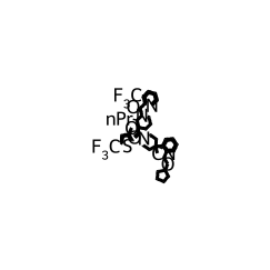 CCC[C@H]1N(C(=O)c2ncccc2C(F)(F)F)CCC[C@@]1(Oc1csc(C(F)(F)F)c1)C(=O)N1CCC(C#N)(c2ccccc2COC2CCCC2)CC1